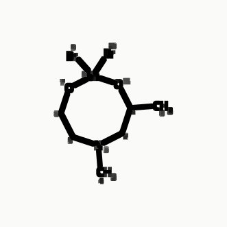 CC1CN(C)CC[O][Sn]([Br])([Br])[O]1